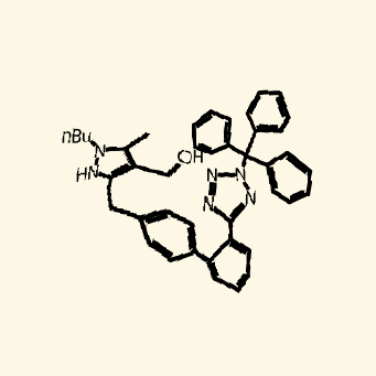 CCCCN1NC(Cc2ccc(-c3ccccc3-c3nnn(C(c4ccccc4)(c4ccccc4)c4ccccc4)n3)cc2)=C(CO)C1C